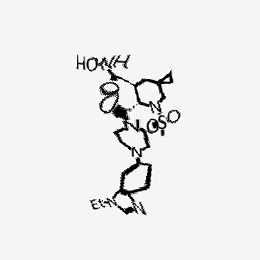 CCn1cnc2ccc(N3CCN(C(=O)[C@@H]4[C@@H](C(=O)NO)CC5(CC5)CN4S(C)(=O)=O)CC3)cc21